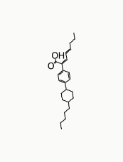 CCCC=CC=C(C(=O)O)c1ccc(C2CCC(CCCCC)CC2)cc1